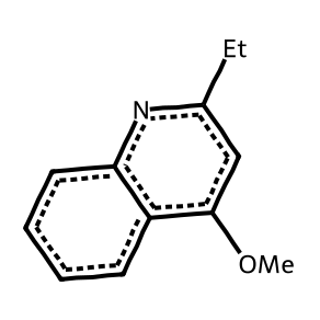 [CH2]Oc1cc(CC)nc2ccccc12